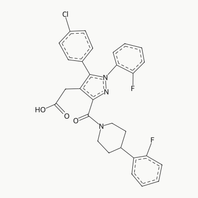 O=C(O)Cc1c(C(=O)N2CCC(c3ccccc3F)CC2)nn(-c2ccccc2F)c1-c1ccc(Cl)cc1